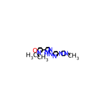 CCN1CCN(c2ccc(Nc3nccc(-c4ccc(=O)n(C(C)C)c4)n3)nc2)CC1